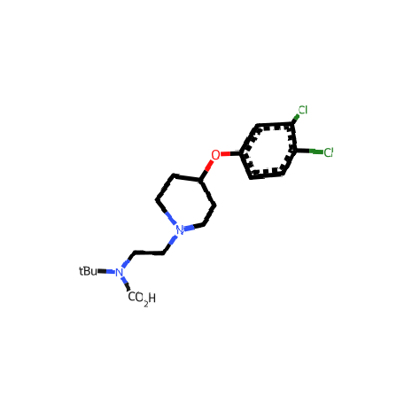 CC(C)(C)N(CCN1CCC(Oc2ccc(Cl)c(Cl)c2)CC1)C(=O)O